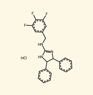 Cl.Fc1cc(CNC2=NC(c3ccccc3)C(c3ccccc3)N2)cc(F)c1F